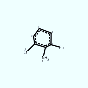 CCc1cccc(F)c1N